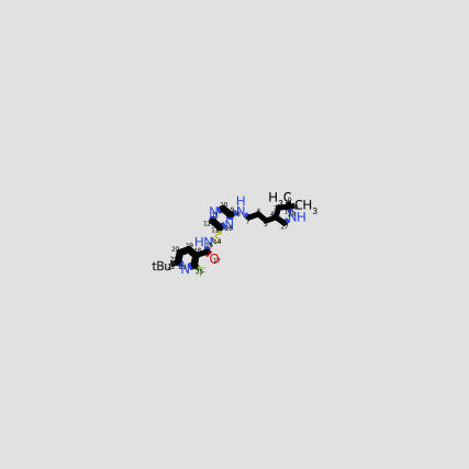 CC1(C)CC(CCCNc2cncc(SNC(=O)c3ccc(C(C)(C)C)nc3F)n2)CN1